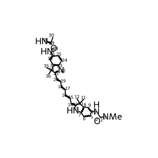 CNC(=O)Nc1ccc2c(c1)C(C)(C)\C(=C/C=C/C=C/C=C/C1=Nc3ccc(NOC(C)=N)cc3C1(C)C)N2